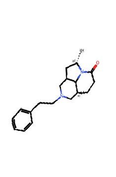 CC(C)[C@H]1CC2CN(CCc3ccccc3)C[C@H]3CCC(=O)N1C23